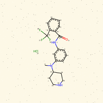 CN(c1cccc(NC(=O)c2ccccc2C(F)(F)F)c1)C1CCNCC1.Cl